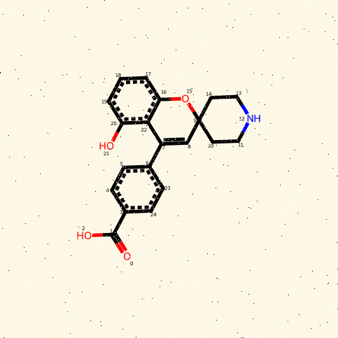 O=C(O)c1ccc(C2=CC3(CCNCC3)Oc3cccc(O)c32)cc1